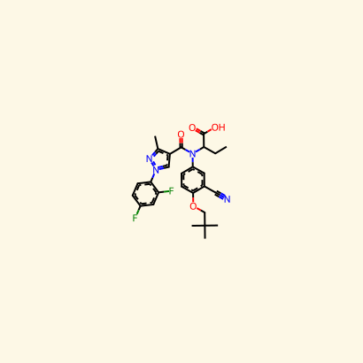 CCC(C(=O)O)N(C(=O)c1cn(-c2ccc(F)cc2F)nc1C)c1ccc(OCC(C)(C)C)c(C#N)c1